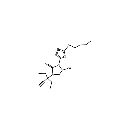 C#CC(CC)(CC)N1CC(O)N(c2nnc(OCCCC)s2)C1=O